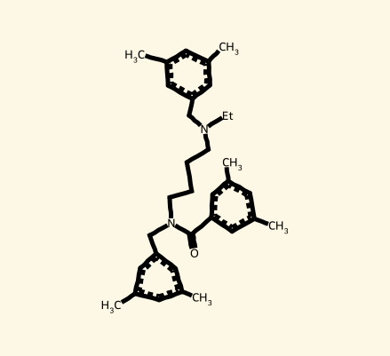 CCN(CCCCN(Cc1cc(C)cc(C)c1)C(=O)c1cc(C)cc(C)c1)Cc1cc(C)cc(C)c1